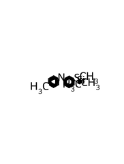 Cc1ccc(/N=C2\CCCC(S[Si](C)(C)C)C2)cc1